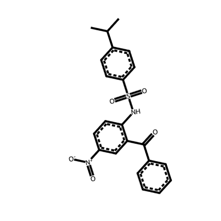 CC(C)c1ccc(S(=O)(=O)Nc2ccc([N+](=O)[O-])cc2C(=O)c2ccccc2)cc1